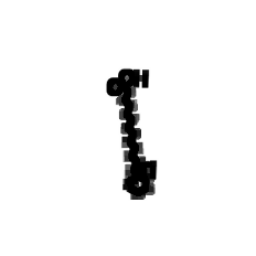 O=C(O)CCCCCCCCCCCCC1(Cl)CCCCC1